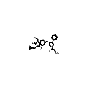 CC(C)CN1C(=O)N(CC2CC2)C(=O)C12CCN(C[C@H]1CN(C(=O)CC(C)(C)C)C[C@@H]1c1ccccc1)CC2